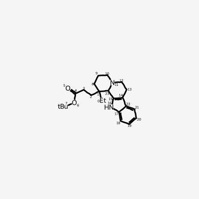 CCC1(CCC(=O)OC(C)(C)C)CCCN2CCc3c([nH]c4ccccc34)C21